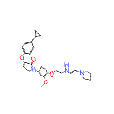 COc1cc(N2CC[C@H](Oc3ccc(C4CC4)cc3)C2=O)ccc1OCCNCCN1CCCC1